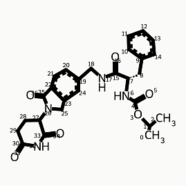 CC(C)OC(=O)N[C@@H](Cc1ccccc1)C(=O)NCc1ccc2c(c1)CN(C1CCC(=O)NC1=O)C2=O